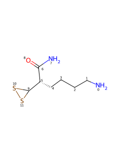 NCCCC[C@@H](C(N)=O)C1SS1